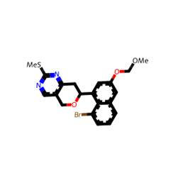 COCOc1cc(C2Cc3nc(SC)n[c]c3CO2)c2c(Br)cccc2c1